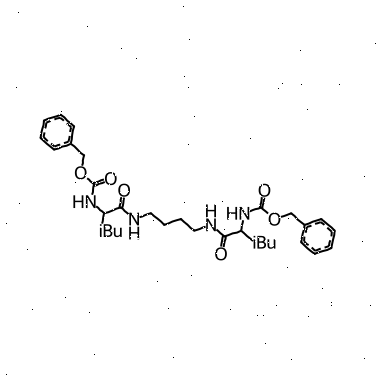 CCC(C)C(NC(=O)OCc1ccccc1)C(=O)NCCCCNC(=O)C(NC(=O)OCc1ccccc1)C(C)CC